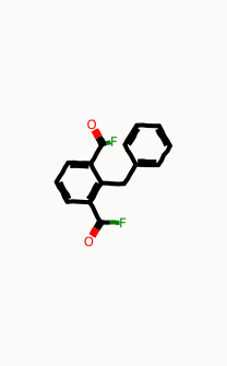 O=C(F)c1cccc(C(=O)F)c1Cc1ccccc1